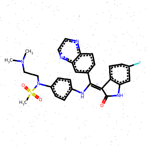 CN(C)CCN(c1ccc(N/C(=C2\C(=O)Nc3cc(F)ccc32)c2ccc3nccnc3c2)cc1)S(C)(=O)=O